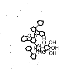 Oc1c(O)c(O)c(-c2nc(-c3cc(-n4c5ccccc5c5c(-c6ccccc6)cccc54)c4oc5ccccc5c4c3)nc(-c3ccccc3-c3ccccc3)n2)c(O)c1O